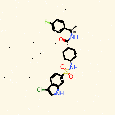 C[C@@H](NC(=O)[C@H]1CC[C@H](NS(=O)(=O)c2ccc3c(Cl)c[nH]c3c2)CC1)c1ccc(F)cc1